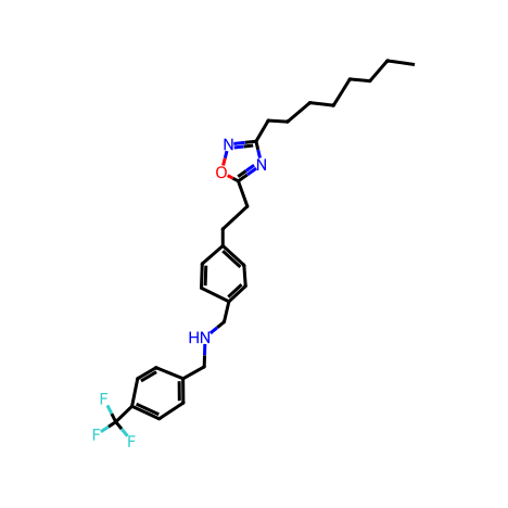 CCCCCCCCc1noc(CCc2ccc(CNCc3ccc(C(F)(F)F)cc3)cc2)n1